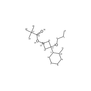 CCCOC1(C2CCCCC2C)CN(OC(=O)C(C)(C)C)C1